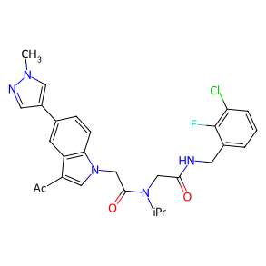 CC(=O)c1cn(CC(=O)N(CC(=O)NCc2cccc(Cl)c2F)C(C)C)c2ccc(-c3cnn(C)c3)cc12